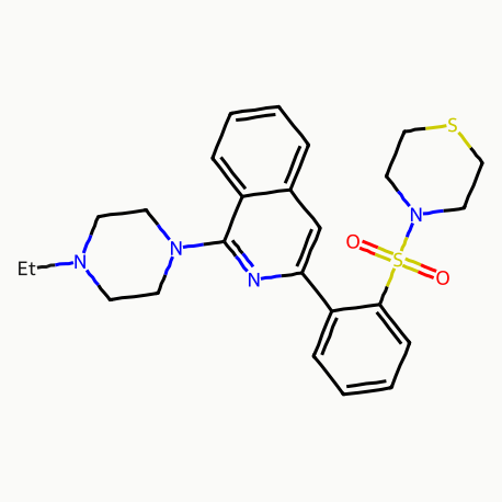 CCN1CCN(c2nc(-c3ccccc3S(=O)(=O)N3CCSCC3)cc3ccccc23)CC1